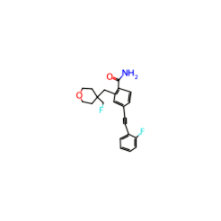 NC(=O)c1ccc(C#Cc2ccccc2F)cc1CC1(CF)CCOCC1